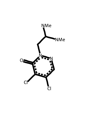 CNC(Cn1ncc(Cl)c(Cl)c1=O)NC